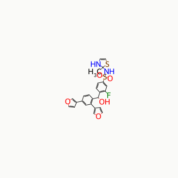 CC1(NS(=O)(=O)c2ccc(C(O)c3ccc(-c4ccoc4)cc3-c3ccoc3)c(F)c2)NC=CS1